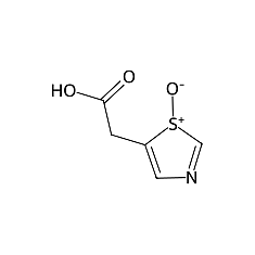 O=C(O)Cc1cnc[s+]1[O-]